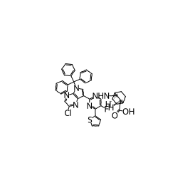 O=C(O)[C@H]1C2CCC(CC2)[C@@H]1Nc1nc(-c2cn(C(c3ccccc3)(c3ccccc3)c3ccccc3)c3ncc(Cl)nc23)nc(-c2cccs2)c1F